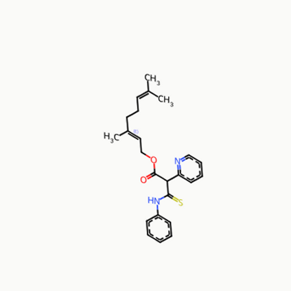 CC(C)=CCC/C(C)=C/COC(=O)C(C(=S)Nc1ccccc1)c1ccccn1